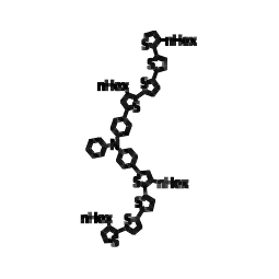 CCCCCCc1ccsc1-c1ccc(-c2ccc(-c3sc(-c4ccc(N(c5ccccc5)c5ccc(-c6cc(CCCCCC)c(-c7ccc(-c8ccc(-c9sccc9CCCCCC)s8)s7)s6)cc5)cc4)cc3CCCCCC)s2)s1